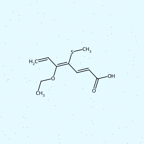 C=C/C(OCC)=C(/C=C/C(=O)O)SC